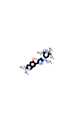 CN(c1ccc(-c2cc3c(cc2O)CC(C)(C)N=C3)nn1)C1CC(C)(C)NC(C)(C)C1